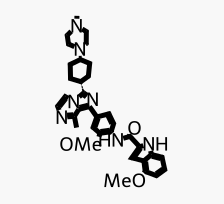 COc1cc(-c2nc([C@H]3CC[C@H](N4CCN(C)CC4)CC3)n3ccnc(C)c23)ccc1NC(=O)c1cc2c(OC)cccc2[nH]1